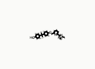 Cc1nc(-c2cccc(COc3ccc(C(C)(C)c4ccc(O)cc4)cc3)n2)no1